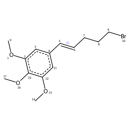 COc1cc(/C=C/CCCBr)cc(OC)c1OC